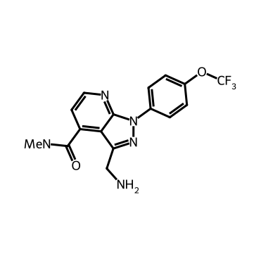 CNC(=O)c1ccnc2c1c(CN)nn2-c1ccc(OC(F)(F)F)cc1